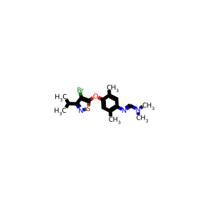 Cc1cc(Oc2snc(C(C)C)c2Br)c(C)cc1N=CN(C)C